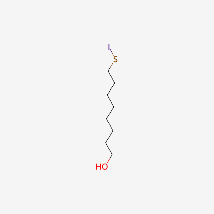 OCCCCCCCCSI